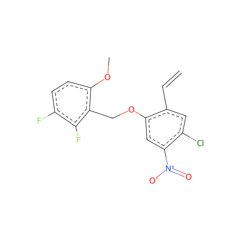 C=Cc1cc(Cl)c([N+](=O)[O-])cc1OCc1c(OC)ccc(F)c1F